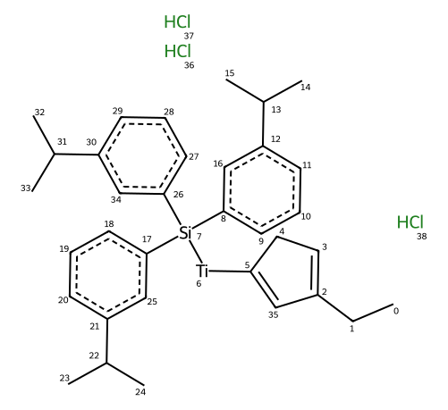 CCC1=CC[C]([Ti][Si](c2cccc(C(C)C)c2)(c2cccc(C(C)C)c2)c2cccc(C(C)C)c2)=C1.Cl.Cl.Cl